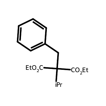 CCOC(=O)C(Cc1ccccc1)(C(=O)OCC)C(C)C